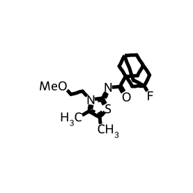 COCCn1c(C)c(C)s/c1=N\C(=O)C12CC3CC(CC(F)(C3)C1)C2